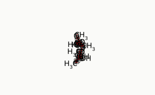 COc1ccc(C2=CN3C(=O)c4cc(C)c(OCCCOc5cc6c(cc5OC)C(=O)N5C=C(c7ccc(C)cc7)CC5C(SO)N6)cc4NC(S(=O)(=O)O)[C@@H]3C2)cc1